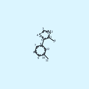 [CH2]c1ncsc1-c1cccc(C)c1